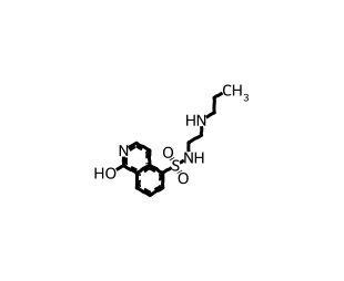 CCCNCCNS(=O)(=O)c1cccc2c(O)nccc12